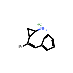 CC(C)C(=Cc1ccccc1)C1CC1N.Cl